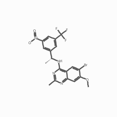 COc1cc2nc(C)nc(N[C@H](C)c3cc([N+](=O)[O-])cc(C(F)(F)F)c3)c2cc1Br